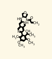 C=CC(=O)N[C@H]1COC[C@H]1Nc1cc2cnc(-c3c(C)c(OC)cc(OC)c3C(C)C)cc2cn1